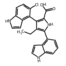 CCc1c(-c2cccc3[nH]ccc23)[nH]c(C(=O)O)c1-c1c(Cl)ccc2[nH]ccc12